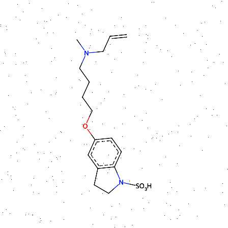 C=CCN(C)CCCCOc1ccc2c(c1)CCN2S(=O)(=O)O